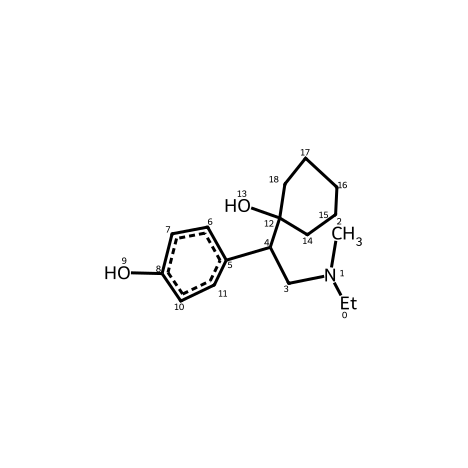 CCN(C)CC(c1ccc(O)cc1)C1(O)CCCCC1